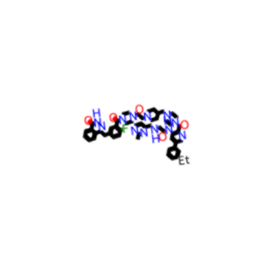 CCc1cccc(-c2cnc(C(=O)N3CCN(CC4CCN(CC(=O)N5CCN(C(=O)c6cc(Cc7n[nH]c(=O)c8ccccc78)ccc6F)CC5)CC4)CC3)c(NC(=O)CNCc3ccnc(C)n3)c2)c1